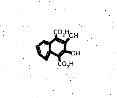 O=C(O)c1c(O)c(O)c(C(=O)O)c2ccccc12